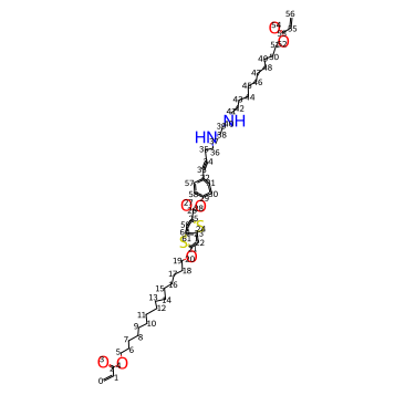 C=CC(=O)OCCCCCCCCCCCCCCCOc1cc2sc(C(=O)Oc3ccc(C#CCCNCCNCCCCCCCCCCCOC(=O)C=C)cc3)cc2s1